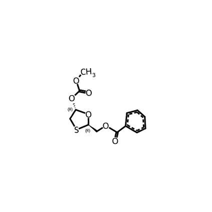 COC(=O)O[C@H]1CS[C@H](COC(=O)c2ccccc2)O1